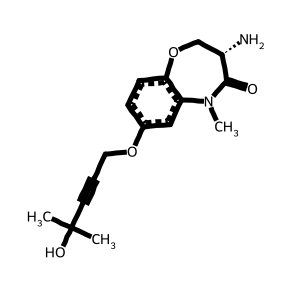 CN1C(=O)[C@@H](N)COc2ccc(OCC#CC(C)(C)O)cc21